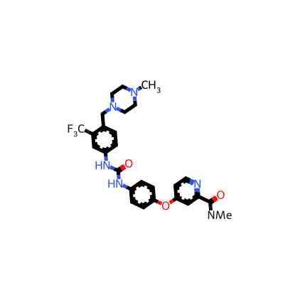 CNC(=O)c1cc(Oc2ccc(NC(=O)Nc3ccc(CN4CCN(C)CC4)c(C(F)(F)F)c3)cc2)ccn1